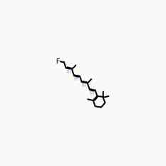 CC1=C(/C=C/C(C)=C/C=C/C(C)=C/CF)C(C)(C)CCC1